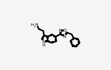 NCCc1c[nH]c2ccc(-c3noc(Cc4ccccc4)n3)cc12